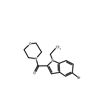 O=C(c1cc2cc(Br)ccc2n1CC(F)(F)F)N1CCOCC1